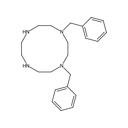 c1ccc(CN2CCNCCNCCN(Cc3ccccc3)CC2)cc1